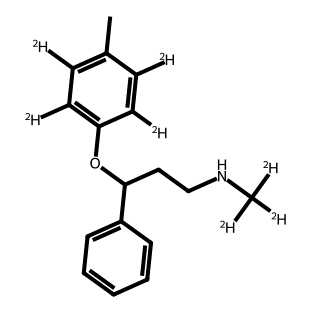 [2H]c1c([2H])c(OC(CCNC([2H])([2H])[2H])c2ccccc2)c([2H])c([2H])c1C